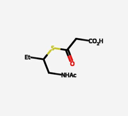 CCC(CNC(C)=O)SC(=O)CC(=O)O